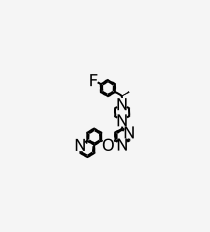 C[C@H](c1ccc(F)cc1)N1CCN(c2cc(Oc3cccc4ncccc34)ncn2)CC1